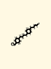 CC=CCCC1CCC(CCCCC2CCC(C=O)CC2)CC1